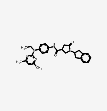 CCN(c1ccc(NC(=O)C2CC(=O)N(C3Cc4ccccc4C3)C2)cc1)c1nc(C)cc(C)n1